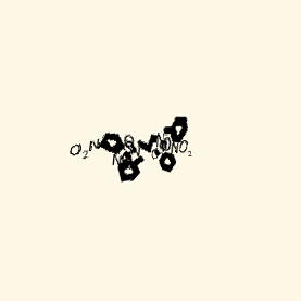 O=[N+]([O-])c1ccc(S(=O)(=O)N(CCCN(Cc2ccccc2)S(=O)(=O)c2ccccc2[N+](=O)[O-])Cc2ccccc2)c([N+](=O)[O-])c1